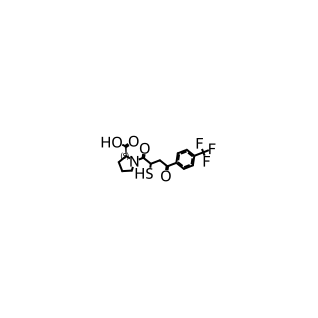 O=C(CC(S)C(=O)N1CCC[C@H]1C(=O)O)c1ccc(C(F)(F)F)cc1